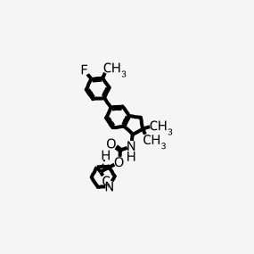 Cc1cc(-c2ccc3c(c2)CC(C)(C)C3NC(=O)O[C@H]2CN3CCC2CC3)ccc1F